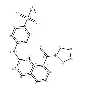 NS(=O)(=O)c1ccc(Nc2ncc3cccc(C(=O)N4CCCC4)c3n2)cc1